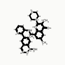 Cc1cc([C@@H](C)Nc2cccnc2-c2ccc3c(c2)C=NOB3O)c2oc(N3CCOCC3)c(C)c(=O)c2c1